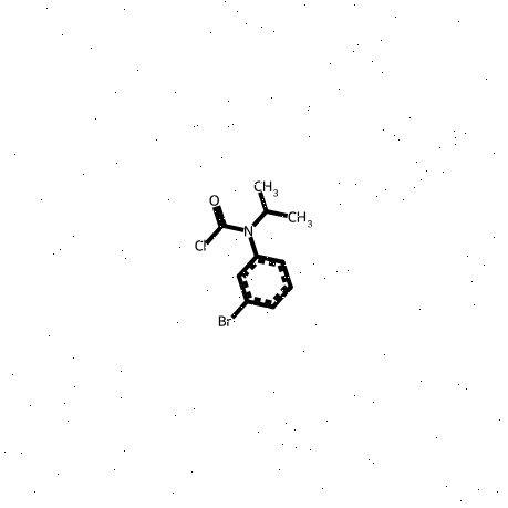 CC(C)N(C(=O)Cl)c1cccc(Br)c1